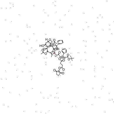 CC(=O)O[C@H]1C(=O)[C@@]2(C)[C@H](C(OC(=O)c3ccccc3)[C@]3(O)C[C@H](OC(=O)C(OC(=O)CCC(=O)ON4C(=O)CCC4=O)C(NC(=O)OC(C)(C)C)c4ccccc4)C(C)=C1C3(C)C)[C@]1(OC(C)=O)CO[C@@H]1C[C@@H]2O